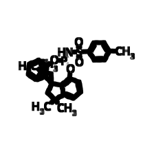 Cc1ccc(S(=O)(=O)NP2Oc3cccc4c3C3(CC4(C)C)CC(C)(C)c4cccc(c43)O2)cc1